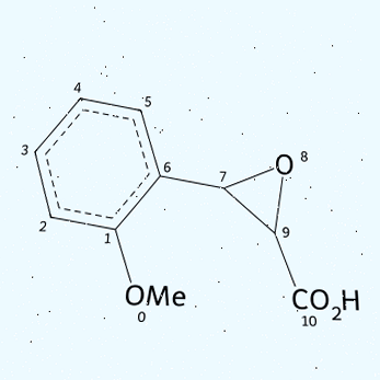 COc1ccccc1C1OC1C(=O)O